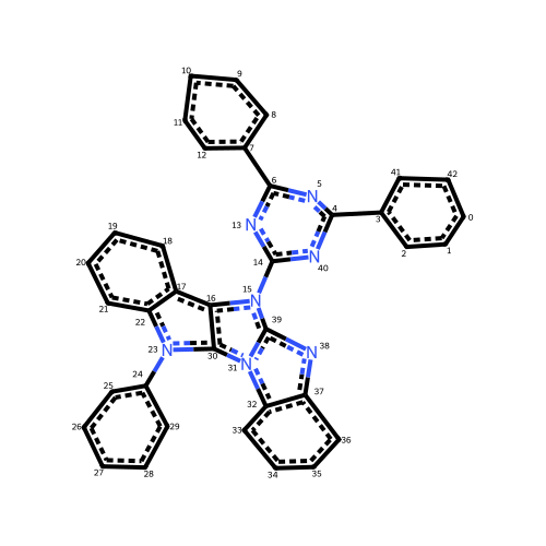 c1ccc(-c2nc(-c3ccccc3)nc(-n3c4c5ccccc5n(-c5ccccc5)c4n4c5ccccc5nc34)n2)cc1